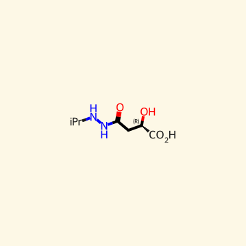 CC(C)NNC(=O)C[C@@H](O)C(=O)O